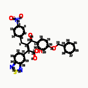 O=C(O)C(=C(Cc1ccc([N+](=O)[O-])cc1)C(=O)c1ccc(OCc2ccccc2)cc1)c1ccc2nsnc2c1